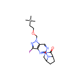 C[Si](C)(C)CCOCn1nc(I)c2nc(N3C4CCC3C(=O)NC4)ncc21